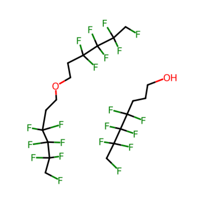 FCC(F)(F)C(F)(F)C(F)(F)CCOCCC(F)(F)C(F)(F)C(F)(F)CF.OCCCC(F)(F)C(F)(F)C(F)(F)CF